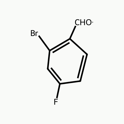 O=[C]c1ccc(F)cc1Br